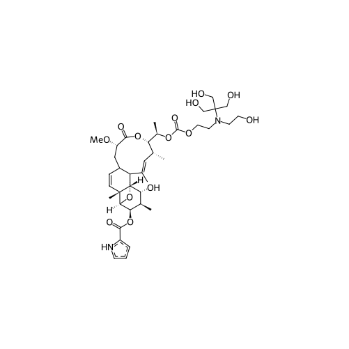 CO[C@H]1CC2C=C[C@]3(C)[C@H]4[C@H](O)[C@@H](C)[C@@H](OC(=O)c5ccc[nH]5)[C@@H]3O[C@@]24/C(C)=C/[C@@H](C)[C@@H]([C@@H](C)OC(=O)OCCN(CCO)C(CO)(CO)CO)OC1=O